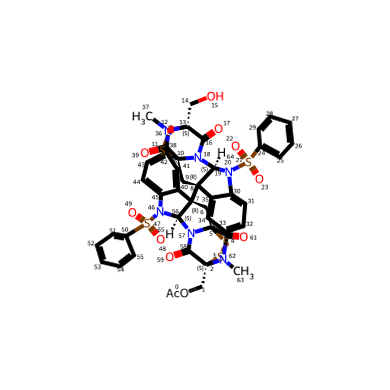 CC(=O)OC[C@]12SS[C@@]3(C[C@]4([C@]56C[C@@]78SS[C@@](CO)(C(=O)N7[C@H]5N(S(=O)(=O)c5ccccc5)c5ccccc56)N(C)C8=O)c5ccccc5N(S(=O)(=O)c5ccccc5)[C@@H]4N3C1=O)C(=O)N2C